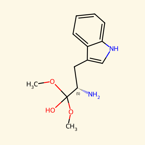 COC(O)(OC)[C@@H](N)Cc1c[nH]c2ccccc12